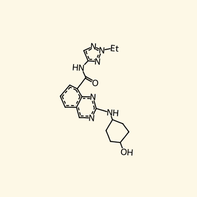 CCn1ncc(NC(=O)c2cccc3cnc(NC4CCC(O)CC4)nc23)n1